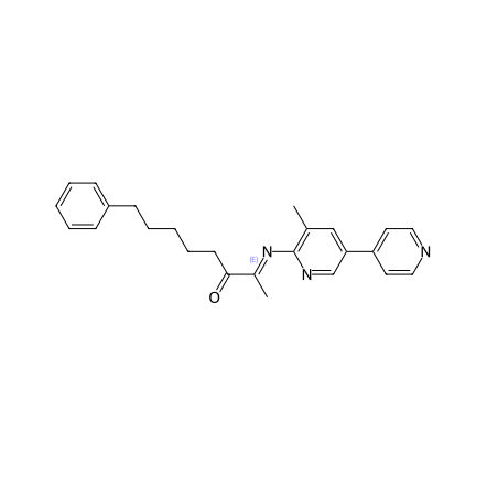 C/C(=N\c1ncc(-c2ccncc2)cc1C)C(=O)CCCCCc1ccccc1